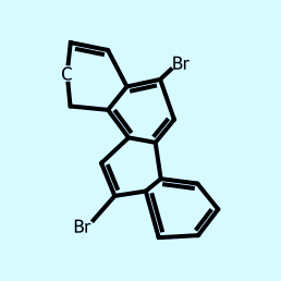 Brc1cc2c(cc(Br)c3ccccc32)c2c1C=CCC2